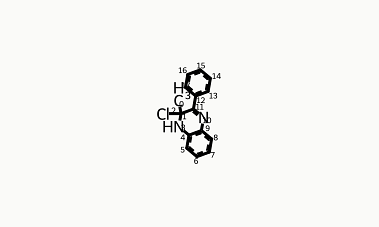 CC1(Cl)Nc2ccccc2N=C1c1ccccc1